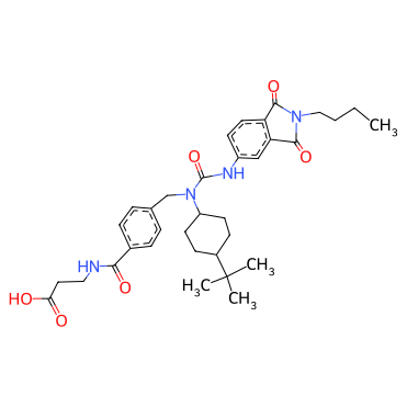 CCCCN1C(=O)c2ccc(NC(=O)N(Cc3ccc(C(=O)NCCC(=O)O)cc3)C3CCC(C(C)(C)C)CC3)cc2C1=O